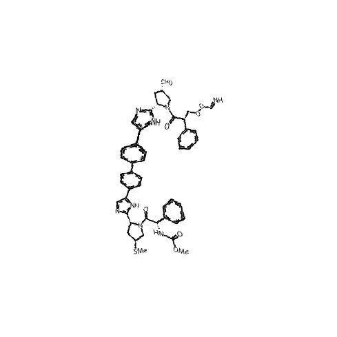 COC(=O)N[C@H](C(=O)N1C[C@@H](SC)C[C@H]1c1ncc(-c2ccc(-c3ccc(-c4cnc([C@@H]5C[C@H](C=O)CN5C(=O)[C@@H](COOC=N)c5ccccc5)[nH]4)cc3)cc2)[nH]1)c1ccccc1